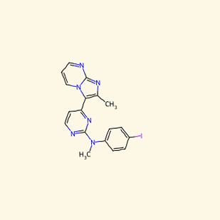 Cc1nc2ncccn2c1-c1ccnc(N(C)c2ccc(I)cc2)n1